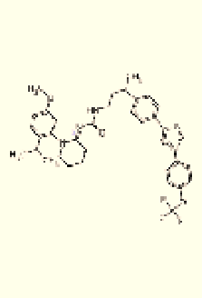 COc1ccc(C(C)C)c(N2CCCS/C2=N\C(=O)NCCC(C)c2ccc(-c3ncn(-c4ccc(OC(F)(F)F)cc4)n3)cc2)c1